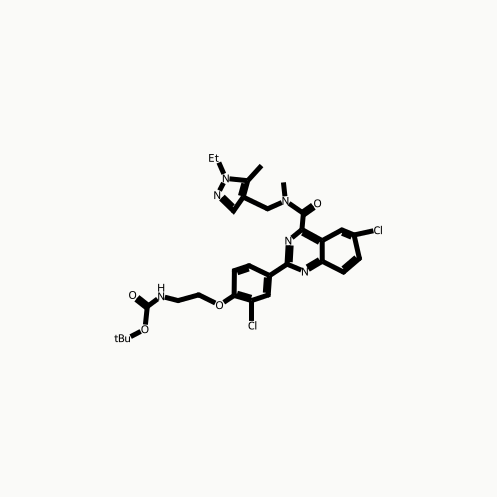 CCn1ncc(CN(C)C(=O)c2nc(-c3ccc(OCCNC(=O)OC(C)(C)C)c(Cl)c3)nc3ccc(Cl)cc23)c1C